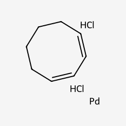 C1=CCCCCC=C1.Cl.Cl.[Pd]